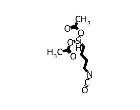 CC(=O)O[SiH](CCCCN=C=O)OC(C)=O